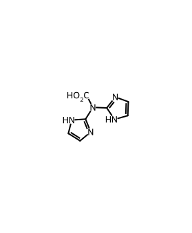 O=C(O)N(c1ncc[nH]1)c1ncc[nH]1